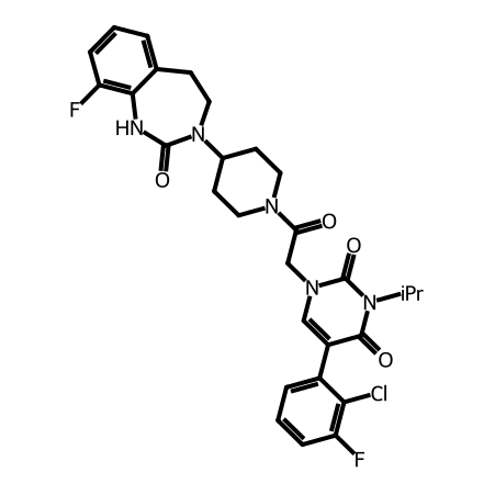 CC(C)n1c(=O)c(-c2cccc(F)c2Cl)cn(CC(=O)N2CCC(N3CCc4cccc(F)c4NC3=O)CC2)c1=O